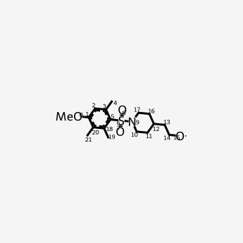 COc1cc(C)c(S(=O)(=O)N2CCC(CC[O])CC2)c(C)c1C